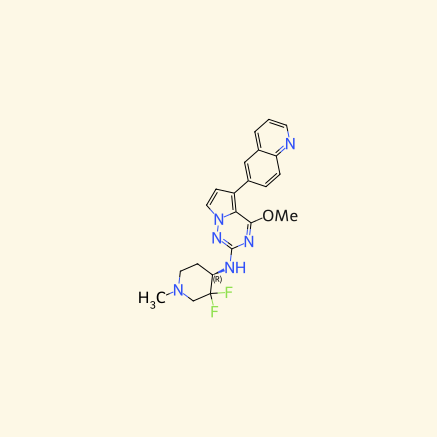 COc1nc(N[C@@H]2CCN(C)CC2(F)F)nn2ccc(-c3ccc4ncccc4c3)c12